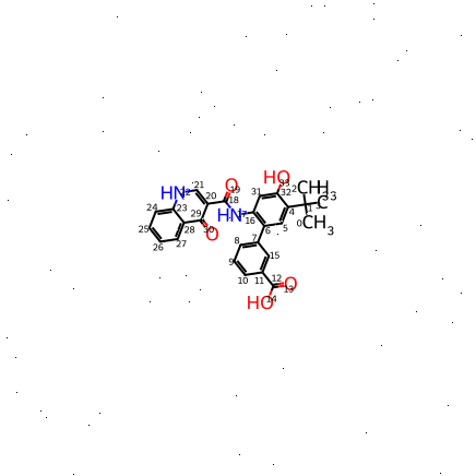 CC(C)(C)c1cc(-c2cccc(C(=O)O)c2)c(NC(=O)c2c[nH]c3ccccc3c2=O)cc1O